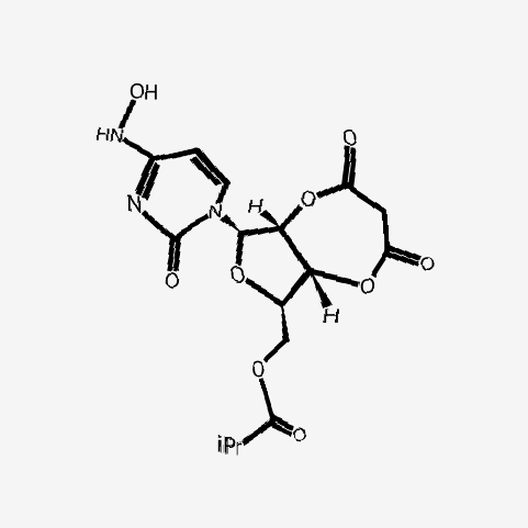 CC(C)C(=O)OC[C@H]1O[C@@H](n2ccc(NO)nc2=O)[C@@H]2OC(=O)CC(=O)O[C@@H]21